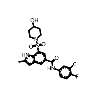 Cc1cc2cc(C(=O)Nc3ccc(F)c(Cl)c3)cc(S(=O)(=O)N3CCC(O)CC3)c2[nH]1